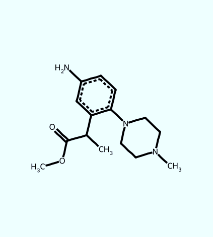 COC(=O)C(C)c1cc(N)ccc1N1CCN(C)CC1